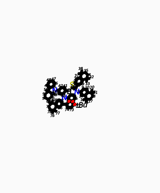 Cc1cc2c3c(c1)N(c1ccc4c(c1)C(C)(C)CCC4(C)C)c1c(sc4cc5c(cc14)C(C)(C)CCC5(C)C)B3c1ccc(N3c4ccccc4C4(C)CCCCC34C)cc1N2c1cc2c(cc1-c1ccc(C(C)(C)C)cc1)C(C)(C)CCC2(C)C